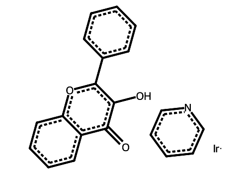 O=c1c(O)c(-c2ccccc2)oc2ccccc12.[Ir].c1ccncc1